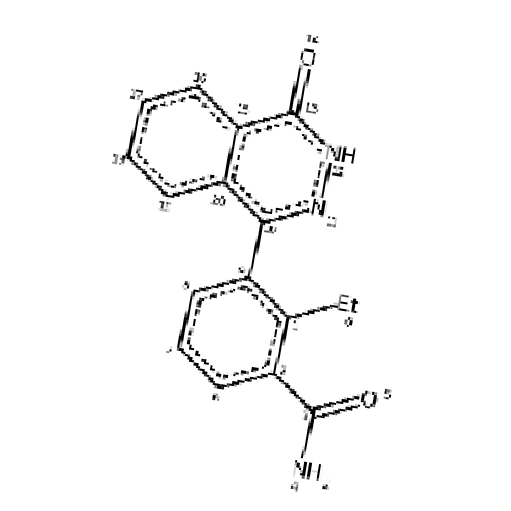 CCc1c(C(N)=O)cccc1-c1n[nH]c(=O)c2ccccc12